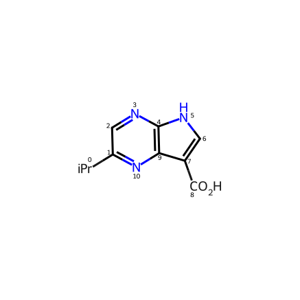 CC(C)c1cnc2[nH]cc(C(=O)O)c2n1